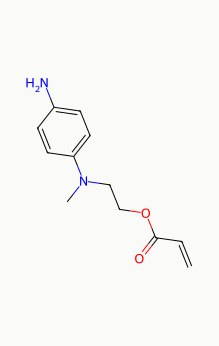 C=CC(=O)OCCN(C)c1ccc(N)cc1